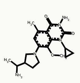 COc1c(N2CCC(C(C)N)C2)cc(C)c2c(=O)n(N)c(=O)n(C3CC3)c12